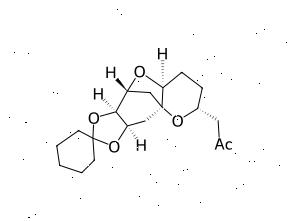 CC(=O)C[C@H]1CC[C@@H]2O[C@@H]3C[C@]2(C[C@H]2OC4(CCCCC4)O[C@@H]32)O1